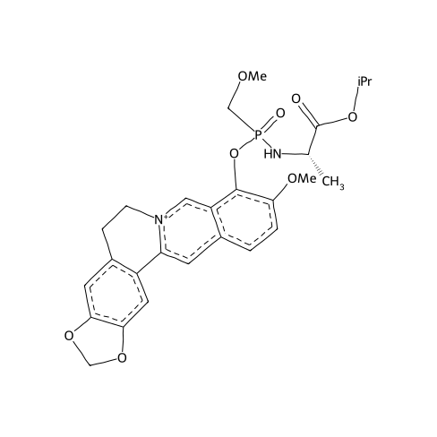 COCP(=O)(N[C@@H](C)C(=O)OC(C)C)Oc1c(OC)ccc2cc3[n+](cc12)CCc1cc2c(cc1-3)OCO2